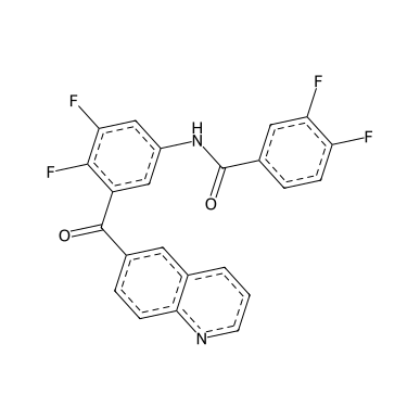 O=C(Nc1cc(F)c(F)c(C(=O)c2ccc3ncccc3c2)c1)c1ccc(F)c(F)c1